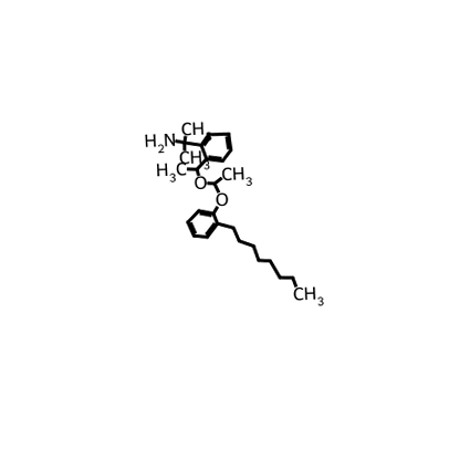 CCCCCCCCc1ccccc1OC(C)OC(C)c1ccccc1C(C)(C)N